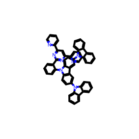 c1ccc(-c2cc(-c3ccccn3)nc(-c3ccccc3-n3c4ccc(-n5c6ccccc6c6ccccc65)cc4c4cc(-n5c6ccccc6c6ccccc65)ccc43)n2)nc1